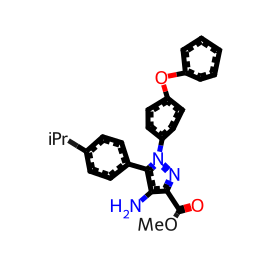 COC(=O)c1nn(-c2ccc(Oc3ccccc3)cc2)c(-c2ccc(C(C)C)cc2)c1N